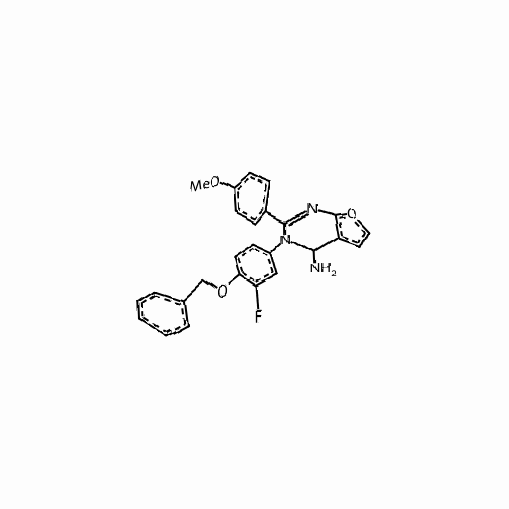 COc1ccc(C2=Nc3occc3C(N)N2c2ccc(OCc3ccccc3)c(F)c2)cc1